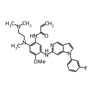 C=CC(=O)Nc1cc(Nc2cc3c(ccn3-c3cccc(F)c3)cn2)c(OC)cc1N(C)CCN(C)C